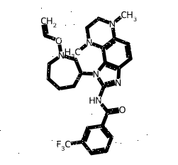 C=CON1CCCCC(n2c(NC(=O)c3cccc(C(F)(F)F)c3)nc3ccc4c(c32)N(C)CCN4C)C1